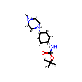 CN1CCN([C@H]2CC[C@@H](NC(=O)OC(C)(C)C)CC2)CC1